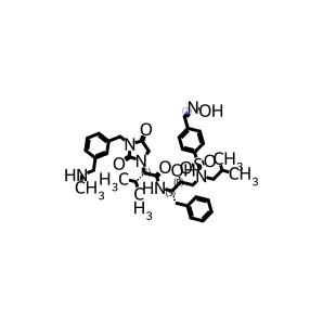 CNCc1cccc(CN2C(=O)CN([C@H](C(=O)N[C@@H](Cc3ccccc3)[C@H](O)CN(CC(C)C)S(=O)(=O)c3ccc(/C=N\O)cc3)C(C)C)C2=O)c1